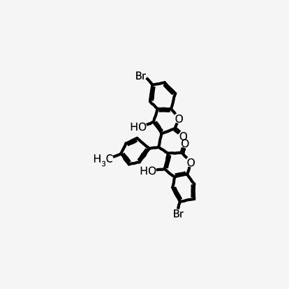 Cc1ccc(C(c2c(O)c3cc(Br)ccc3oc2=O)c2c(O)c3cc(Br)ccc3oc2=O)cc1